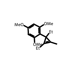 CCC1=C(C)C1(CC)c1c(OC)cc(OC)cc1OC